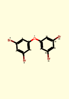 Brc1cc(Br)cc(Oc2cc(Br)cc(Br)c2)c1